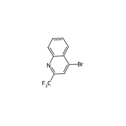 FC(F)(F)c1cc(Br)c2ccccc2n1